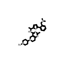 CC(=O)N1CCC(N2CCc3nc(C)nc(NC(C)c4ccc(-c5ccccc5CN(C)C)s4)c3C2)CC1